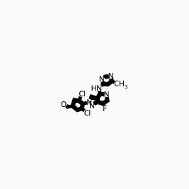 Cc1cc(Nc2ncc(F)c3nn(-c4c(Cl)cc(C=O)cc4Cl)cc23)ncn1